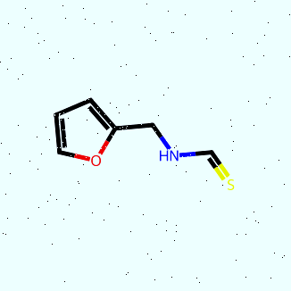 S=CNCc1ccco1